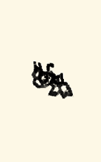 C[CH]=[Zr]([Cl])([Cl])[CH](C1C=Cc2ccccc21)C1C=Cc2ccccc21